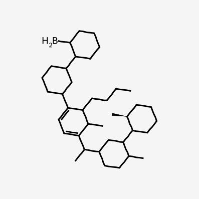 BC1CCCCC1C1CCCC(C2=CC=C(C(C)C3CCC(C)C(C4CCCC[C@@H]4C)C3)C(C)C2CCCC)C1